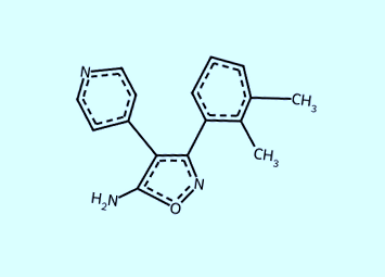 Cc1cccc(-c2noc(N)c2-c2ccncc2)c1C